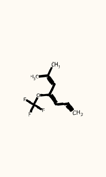 C=C/C=C(\C=C(C)C)OC(F)(F)F